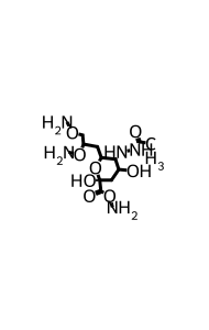 CC(=O)NN[C@@H]1C(O)C[C@](O)(C(=O)ON)OC1CC(CON)ON